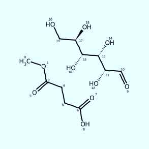 COC(=O)CCC(=O)O.O=C[C@H](O)[C@@H](O)[C@H](O)[C@H](O)CO